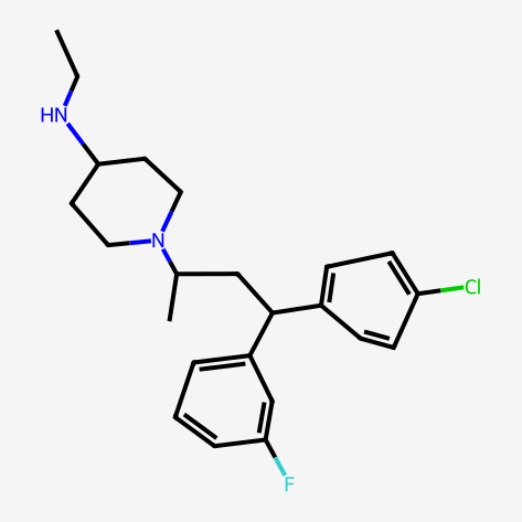 CCNC1CCN(C(C)CC(c2ccc(Cl)cc2)c2cccc(F)c2)CC1